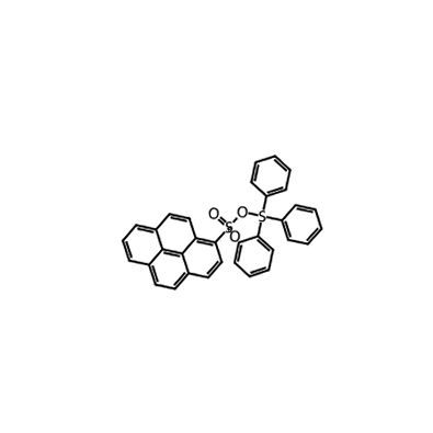 O=S(=O)(OS(c1ccccc1)(c1ccccc1)c1ccccc1)c1ccc2ccc3cccc4ccc1c2c34